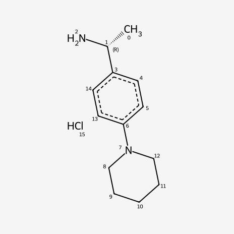 C[C@@H](N)c1ccc(N2CCCCC2)cc1.Cl